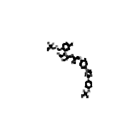 O=C(/N=C1\SCC(=O)N1c1cc(F)ccc1COCC(F)(F)F)Nc1ccc(-n2cnc(-c3ccc(OC(F)(F)F)cc3)n2)cc1F